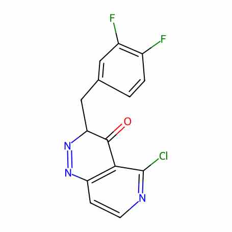 O=C1c2c(ccnc2Cl)N=NC1Cc1ccc(F)c(F)c1